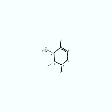 CC1=CC[C@@H](C)[C@H](C)[C@@H]1O